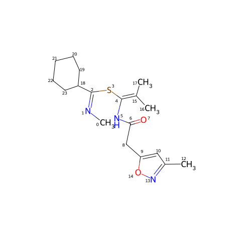 C/N=C(\SC(NC(=O)Cc1cc(C)no1)=C(C)C)C1CCCCC1